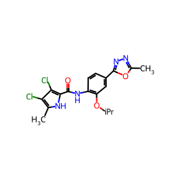 Cc1nnc(-c2ccc(NC(=O)c3[nH]c(C)c(Cl)c3Cl)c(OC(C)C)c2)o1